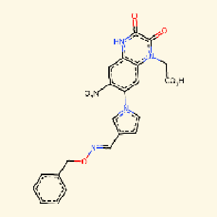 O=C(O)Cn1c(=O)c(=O)[nH]c2cc([N+](=O)[O-])c(-n3ccc(C=NOCc4ccccc4)c3)cc21